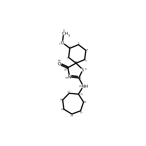 COC1CCCC2(C1)SC(NC1CCCCCC1)=NC2=O